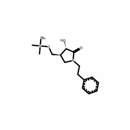 CC(C)(C)[Si](C)(C)OC[C@@H]1CN(CCc2ccccc2)C(=O)[C@H]1O